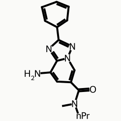 CCCN(C)C(=O)c1cc(N)c2nc(-c3ccccc3)nn2c1